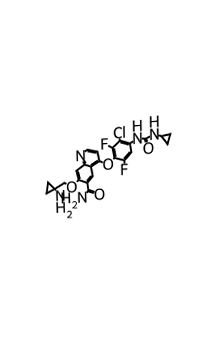 NC(=O)c1cc2c(Oc3c(F)cc(NC(=O)NC4CC4)c(Cl)c3F)ccnc2cc1OCC1(N)CC1